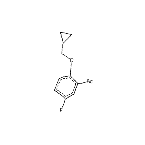 CC(=O)c1cc(F)ccc1OCC1CC1